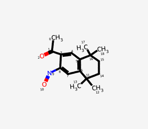 CC(=O)c1cc2c(cc1N=O)C(C)(C)CCC2(C)C